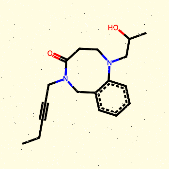 CCC#CCN1Cc2ccccc2N(CC(C)O)CCC1=O